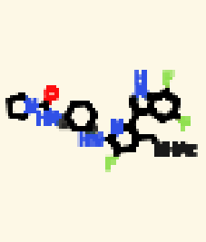 CC(=O)NCc1cc(F)c(N[C@@H]2CCC[C@H](NC(=O)N3CCCC3)C2)nc1-c1c[nH]c2c(F)cc(F)cc12